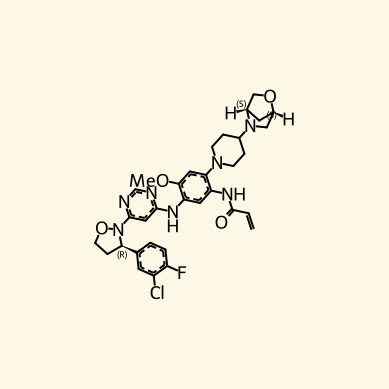 C=CC(=O)Nc1cc(Nc2cc(N3OCC[C@@H]3c3ccc(F)c(Cl)c3)ncn2)c(OC)cc1N1CCC(N2C[C@@H]3C[C@H]2CO3)CC1